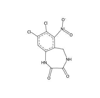 O=C1NCc2c(cc(Cl)c(Cl)c2[N+](=O)[O-])NC1=O